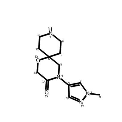 Cn1cc(N2CC3(CCNCC3)OCC2=O)cn1